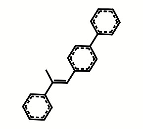 C/C(=C\c1ccc(-c2ccccc2)cc1)c1ccccc1